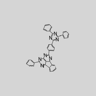 c1ccc(-c2nc(-c3ccccc3)nc(-c3ccc(-c4nc5c6c(nc(-c7ccccc7)nc6n4)-c4ccccc4-5)cc3)n2)cc1